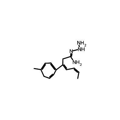 C/C=C\C=C(/C/C(N)=N/NN)C1=CC=C(C)CC=C1